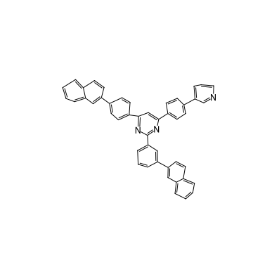 c1cncc(-c2ccc(-c3cc(-c4ccc(-c5ccc6ccccc6c5)cc4)nc(-c4cccc(-c5ccc6ccccc6c5)c4)n3)cc2)c1